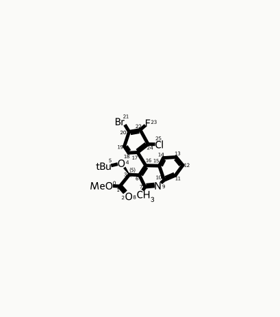 COC(=O)[C@@H](OC(C)(C)C)c1c(C)nc2ccccc2c1-c1ccc(Br)c(F)c1Cl